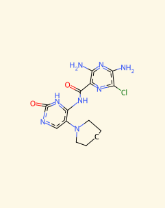 Nc1nc(N)c(C(=O)Nc2[nH]c(=O)ncc2N2CCCCC2)nc1Cl